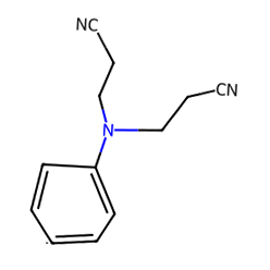 N#CCCN(CCC#N)c1cc[c]cc1